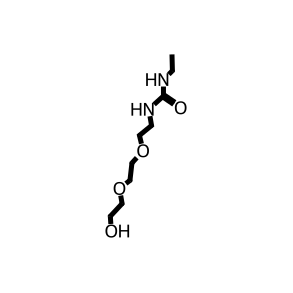 CCNC(=O)NCCOCCOCCO